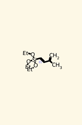 C=C(C)/C=C/[Si](OCC)(OCC)OCC